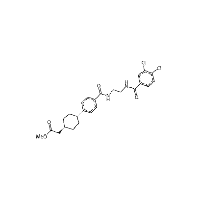 COC(=O)C[C@H]1CC[C@H](c2ccc(C(=O)NCCNC(=O)c3ccc(Cl)c(Cl)c3)cc2)CC1